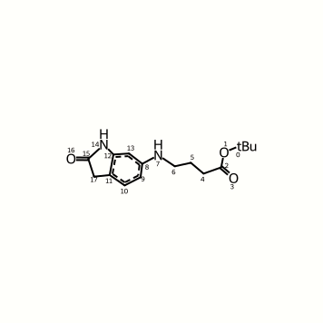 CC(C)(C)OC(=O)CCCNc1ccc2c(c1)NC(=O)C2